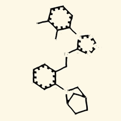 Clc1cccc(-n2nnnc2NCc2ccccc2N2CC3CCC2C3)c1Cl